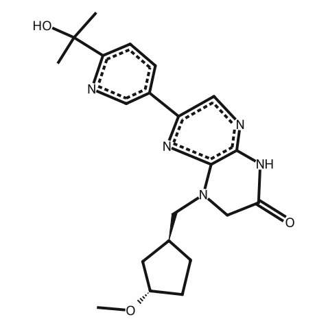 CO[C@H]1CC[C@H](CN2CC(=O)Nc3ncc(-c4ccc(C(C)(C)O)nc4)nc32)C1